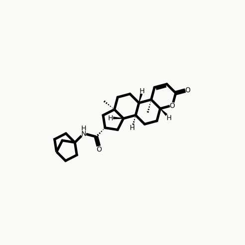 C[C@]12CC[C@H]3[C@@H](CC[C@H]4OC(=O)C=C[C@@]43C)[C@@H]1C[C@H](C(=O)NC13CCC(CC1)C3)C2